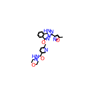 Cc1cc(C2=NNC3c4ccccc4C(OCc4ccc(C(=O)NN5CCOCC5)cn4)=NN23)no1